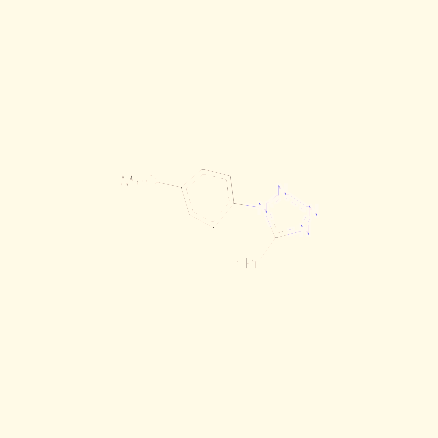 CCCc1nnnn1-c1ccc(OC)cc1